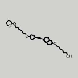 OCCCCCCOc1ccc2cc(C#Cc3ccc(OCCCCCCOC4CCCCO4)cc3)ccc2c1